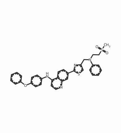 CS(=O)(=O)CCN(Cc1csc(-c2ccc3c(Nc4ccc(Oc5ccccc5)cc4)ccnc3c2)n1)c1ccccc1